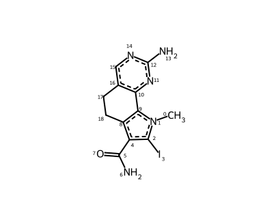 Cn1c(I)c(C(N)=O)c2c1-c1nc(N)ncc1CC2